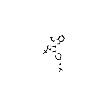 CC(C)(C)OC(=O)NC1CCN(C2=NC3C(C(C)(C)C)C=NN3C(NCc3ccccc3-n3cccn3)=N2)CC1